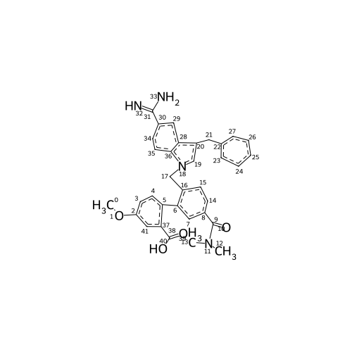 COc1ccc(-c2cc(C(=O)N(C)C)ccc2Cn2cc(Cc3ccccc3)c3cc(C(=N)N)ccc32)c(C(=O)O)c1